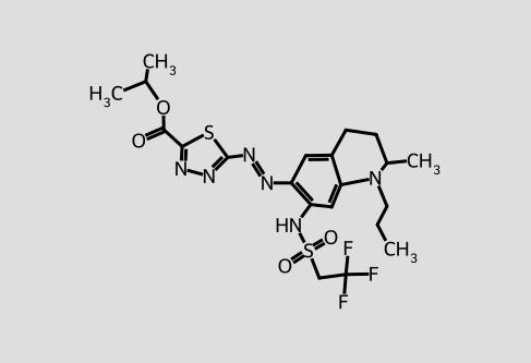 CCCN1c2cc(NS(=O)(=O)CC(F)(F)F)c(N=Nc3nnc(C(=O)OC(C)C)s3)cc2CCC1C